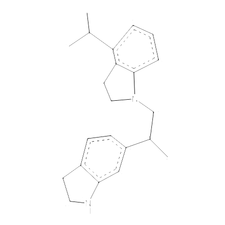 CC(C)c1cccc2c1CCN2CC(C)c1ccc2c(c1)NCC2